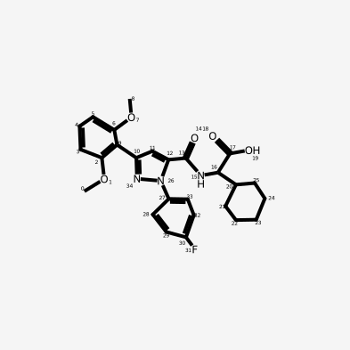 COc1cccc(OC)c1-c1cc(C(=O)NC(C(=O)O)C2CCCCC2)n(-c2ccc(F)cc2)n1